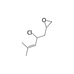 CC(C)=CC(Cl)CC1CO1